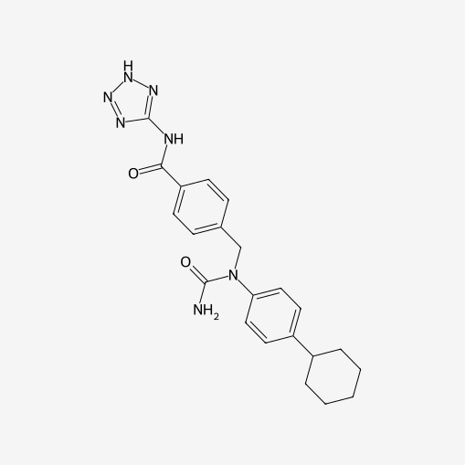 NC(=O)N(Cc1ccc(C(=O)Nc2nn[nH]n2)cc1)c1ccc(C2CCCCC2)cc1